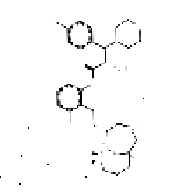 N[C@H](C(=O)Nc1cccc(F)c1CC[C@H]1CNC[C@@H]2CCCS(=O)(=O)N1C2)C(c1ccc(Cl)cc1)C1CCOCC1